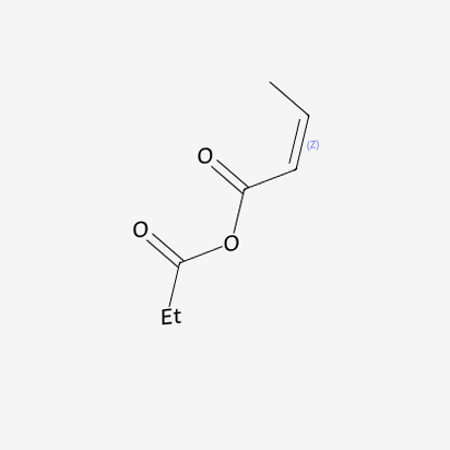 C/C=C\C(=O)OC(=O)CC